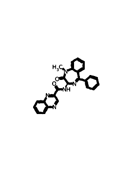 CN1C(=O)[C@H](NC(=O)c2cnc3ccccc3n2)N=C(c2ccccc2)c2ccccc21